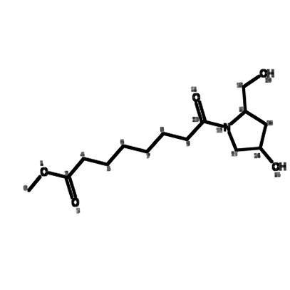 COC(=O)CCCCCCC(=O)N1CC(O)CC1CO